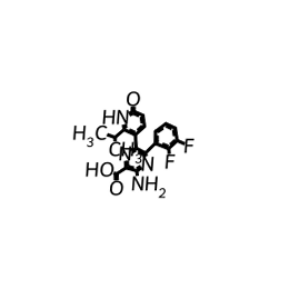 CC(C)c1[nH]c(=O)ccc1-c1nc(C(=O)O)c(N)nc1-c1cccc(F)c1F